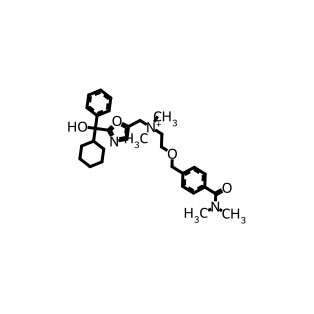 CN(C)C(=O)c1ccc(COCC[N+](C)(C)Cc2cnc(C(O)(c3ccccc3)C3CCCCC3)o2)cc1